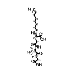 CCCCCCCCN[C@@H](CCC(=O)N[C@@H](CS)C(=O)NCC(=O)O)C(=O)O